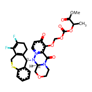 COC(=O)C(C)OC(=O)OCOc1c2n(ccc1=O)N([C@H]1C3=C(CSc4ccccc41)C(F)=C(F)CC3)[C@@H]1COCCN1C2=O